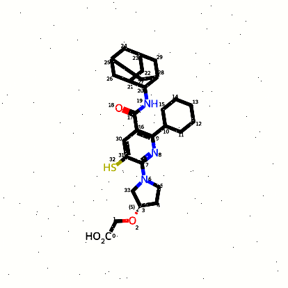 O=C(O)CO[C@H]1CCN(c2nc(C3CCCCC3)c(C(=O)NC3C4CC5CC(C4)CC3C5)cc2S)C1